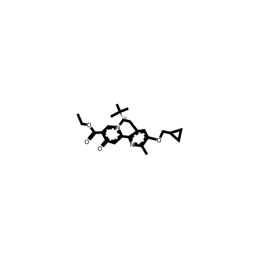 CCOC(=O)c1cn2c(cc1=O)-c1nc(C)c(OCC3CC3)cc1C[C@H]2C(C)(C)C